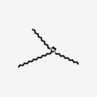 CCCCCCCCCCCCCCCC1N(CCCCCCCCCCC)C=CN1CCCCCCCCCCC